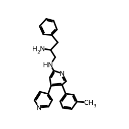 Cc1cccc(-c2cnc(NCC(N)Cc3ccccc3)cc2-c2ccncc2)c1